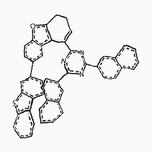 C1=C(c2nc(-c3ccc4ccccc4c3)nc(-c3ccc4ccccc4c3)n2)c2c(oc3ccc(-c4ccc5c(c4)sc4ccccc45)cc23)CC1